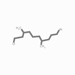 CC(C)CCCC(C)CCCC(C)CCCl